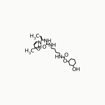 CC=C(N/C=C\C(C)=O)NC(=O)NCCCCNC(=O)OC1CCCC(O)C1